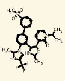 CC1NC(c2cc(-c3cccc(S(C)(=O)=O)c3)ccc2N2C=C(C(F)(F)F)NC2C)=C(c2cccn(C(C)C)c2=O)O1